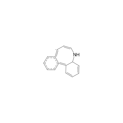 [C]1=c2/cccc/c2=C2\C=CC=CC2N\C=C/1